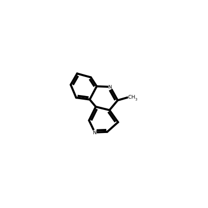 Cc1nc2ccccc2c2cnccc12